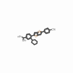 CCCC(CCC)c1ccc(-c2cc3sc(-c4ccc(C#N)cc4)cc3s2)c(C2CCCCC2)c1